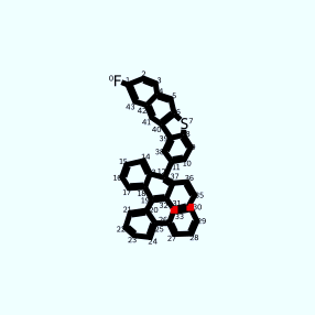 Fc1ccc2cc3sc4ccc(-c5c6ccccc6c(-c6ccccc6-c6ccccc6)c6ccccc56)cc4c3cc2c1